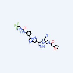 N#CCC1(N/C=C(\C=N)c2cnn3c(-c4cccc(NC(=O)NCC(F)(F)F)c4)cnc3c2)CN(C(=O)CC2CCCO2)C1